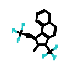 CC1=C(C(F)(F)F)c2ccc3ccccc3c2C1=BC(F)(F)F